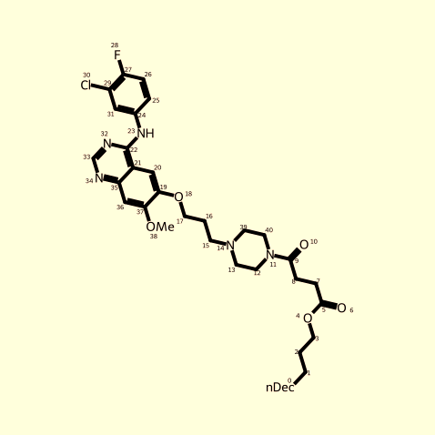 CCCCCCCCCCCCCOC(=O)CCC(=O)N1CCN(CCCOc2cc3c(Nc4ccc(F)c(Cl)c4)ncnc3cc2OC)CC1